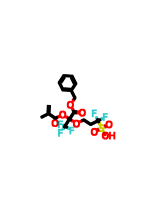 C=C(C)C(=O)OC(OCCC(F)(F)S(=O)(=O)O)(C(=O)OCc1ccccc1)C(F)(F)F